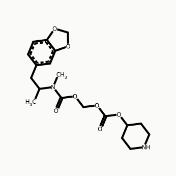 CC(Cc1ccc2c(c1)OCO2)N(C)C(=O)OCOC(=O)OC1CCNCC1